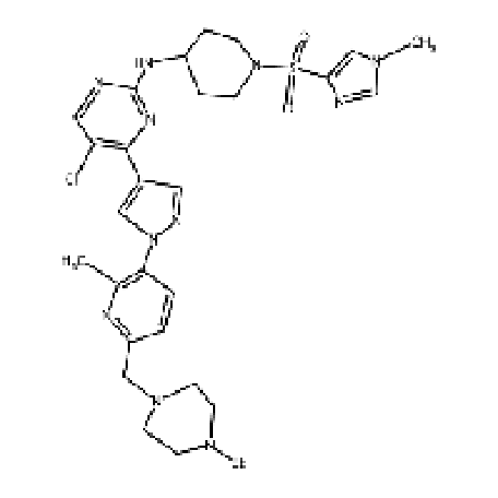 CCN1CCN(Cc2ccc(-n3cc(-c4nc(NC5CCN(S(=O)(=O)c6cn(C)cn6)CC5)ncc4Cl)cn3)c(C)n2)CC1